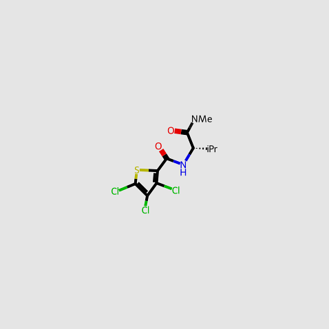 CNC(=O)[C@@H](NC(=O)c1sc(Cl)c(Cl)c1Cl)C(C)C